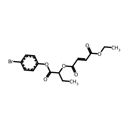 CCOC(=O)C=CC(=O)OC(CC)C(=O)Oc1ccc(Br)cc1